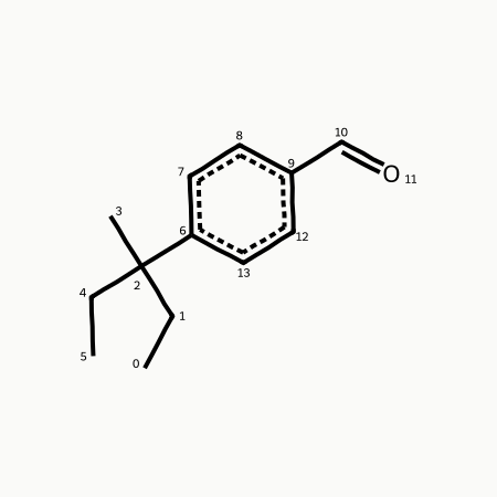 CCC(C)(CC)c1ccc(C=O)cc1